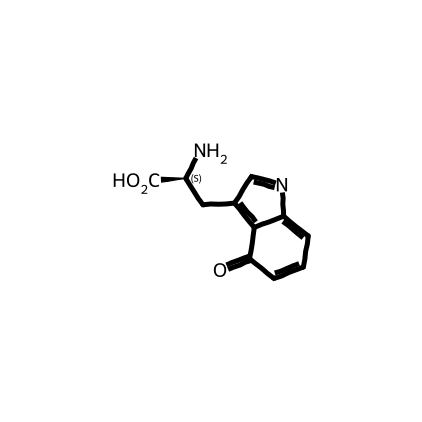 N[C@@H](CC1=C2C(=O)C=CC=C2N=C1)C(=O)O